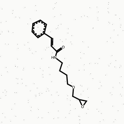 O=C(C=Cc1ccccc1)NCCCCOCC1CO1